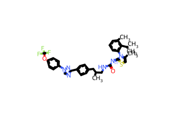 Cc1cccc(-n2c(C)cs/c2=N\C(=O)NCC(C)Cc2ccc(-c3ncn(-c4ccc(OC(F)(F)F)cc4)n3)cc2)c1C(C)C